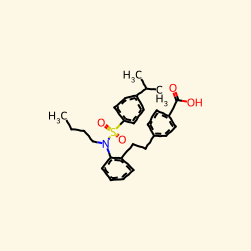 CCCCN(c1ccccc1CCc1ccc(C(=O)O)cc1)S(=O)(=O)c1ccc(C(C)C)cc1